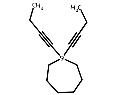 CCC#C[Si]1(C#CCC)CCCCCC1